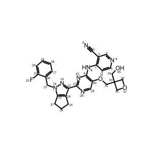 N#Cc1cnccc1Nc1nc(-c2nn(Cc3ccccc3F)c3c2CCC3)ncc1OCC1(CO)COC1